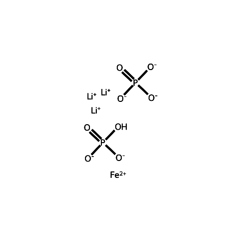 O=P([O-])([O-])O.O=P([O-])([O-])[O-].[Fe+2].[Li+].[Li+].[Li+]